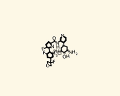 C[C@H]1C[C@@H](c2ccncc2NC(=O)c2ccc(F)c(-c3c(F)cc(C4(F)COC4)cc3P)n2)C[C@@H](N)[C@@H]1O